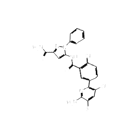 NC(=O)c1cc(NC(=O)c2cc(-c3nc(N)c(F)cc3Cl)ccc2Cl)n(-c2ccccc2)n1